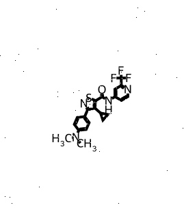 CN(C)c1ccc(-c2nsc(C(=O)Nc3ccnc(C(F)(F)F)c3)c2C2CC2)cc1